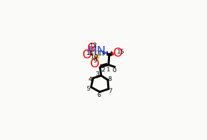 CC1=C(C2CCCCC2)OS(=O)(=O)NC1=O